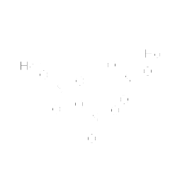 O=S([O-])[O-].O=S([O-])[O-].O=S([O-])[O-].[Ho+3].[Ho+3]